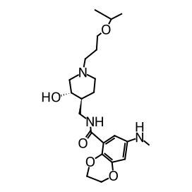 CNc1cc2c(c(C(=O)NC[C@@H]3CCN(CCCOC(C)C)C[C@H]3O)c1)OCCO2